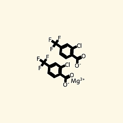 O=C([O-])c1ccc(C(F)(F)F)cc1Cl.O=C([O-])c1ccc(C(F)(F)F)cc1Cl.[Mg+2]